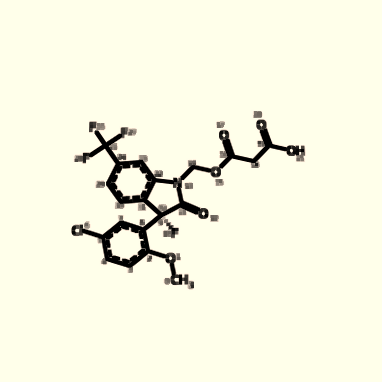 COc1ccc(Cl)cc1[C@]1(F)C(=O)N(COC(=O)CC(=O)O)c2cc(C(F)(F)F)ccc21